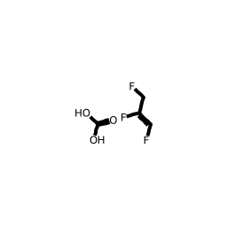 FC=C(F)CF.O=C(O)O